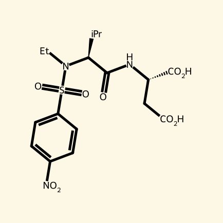 CCN([C@H](C(=O)N[C@@H](CC(=O)O)C(=O)O)C(C)C)S(=O)(=O)c1ccc([N+](=O)[O-])cc1